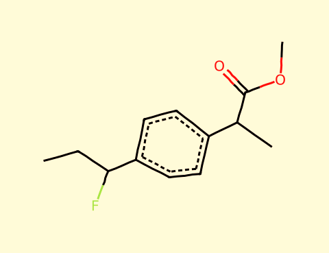 CCC(F)c1ccc(C(C)C(=O)OC)cc1